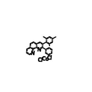 Cc1cc(C)c(-c2cc3ccc4cccnc4c3nc2-c2ccccc2)c(C)c1.[Cl][Co][Cl]